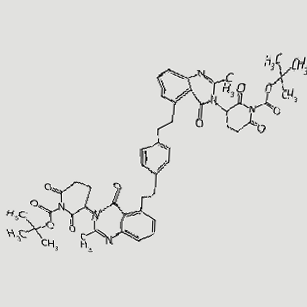 Cc1nc2cccc(CCc3ccc(CCc4cccc5nc(C)n(C6CCC(=O)N(C(=O)OC(C)(C)C)C6=O)c(=O)c45)cc3)c2c(=O)n1C1CCC(=O)N(C(=O)OC(C)(C)C)C1=O